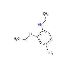 CCNc1ccc(C)cc1OCC